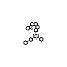 c1ccc(-c2ccc(-c3nc(-c4ccccc4)nc(-c4ccc5c(ccc6ccc7ccc8c9ccccc9sc8c7c65)c4)n3)cc2)cc1